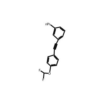 CCCc1cccc(C#Cc2ccc(OC(F)F)cc2)c1